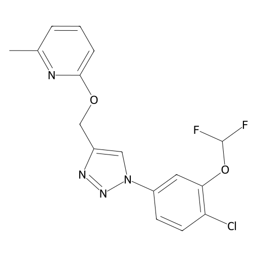 Cc1cccc(OCc2cn(-c3ccc(Cl)c(OC(F)F)c3)nn2)n1